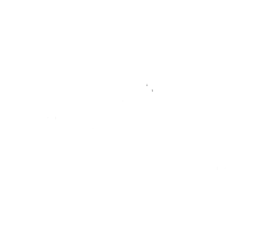 CCCOc1ccc(N(c2ccccc2)c2ccc(OC)cc2C)cc1